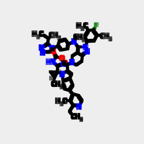 CCc1nccc(-c2ccc3c(c2)cc(C(=O)N2CCc4nn(-c5cc(C)c(F)c(C)c5)c(N(C)c5ccc(-n6cnnc6C(C)C)cc5)c4C2)n3[C@@]2(c3noc(=O)[nH]3)C[C@@H]2C)c1C